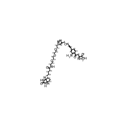 Nc1cc(C#CCOCc2cn(CCOCCOCCOCCNC(=O)CCCC[C@@H]3SC[C@@H]4NC(=O)N[C@@H]43)nn2)ccc1C(=O)C[C@H](N)C(=O)O